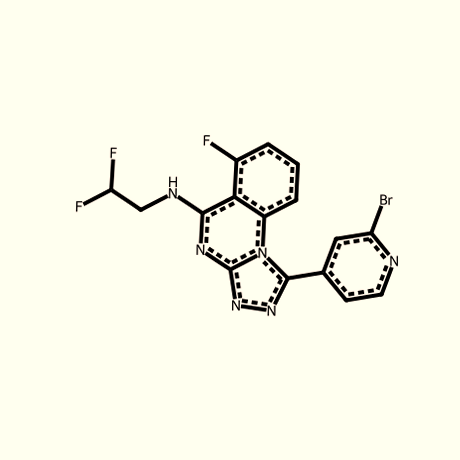 Fc1cccc2c1c(NCC(F)F)nc1nnc(-c3ccnc(Br)c3)n12